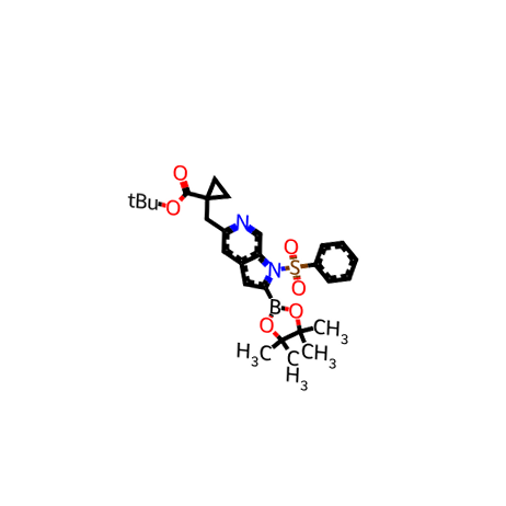 CC(C)(C)OC(=O)C1(Cc2cc3cc(B4OC(C)(C)C(C)(C)O4)n(S(=O)(=O)c4ccccc4)c3cn2)CC1